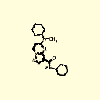 CN(c1ccn2ncc(C(=O)NC3CCCCC3)c2n1)C1CCCCC1